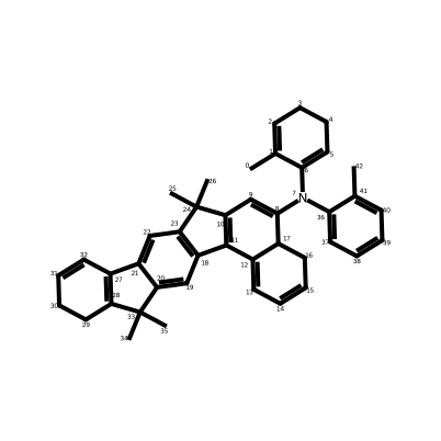 CC1=CCCC=C1N(C1=CC2=C(C3=CC=CCC31)c1cc3c(cc1C2(C)C)C1=C(CCC=C1)C3(C)C)c1ccccc1C